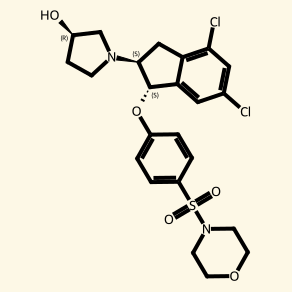 O=S(=O)(c1ccc(O[C@H]2c3cc(Cl)cc(Cl)c3C[C@@H]2N2CC[C@@H](O)C2)cc1)N1CCOCC1